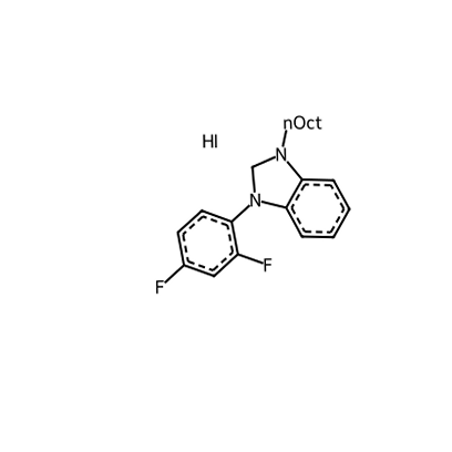 CCCCCCCCN1CN(c2ccc(F)cc2F)c2ccccc21.I